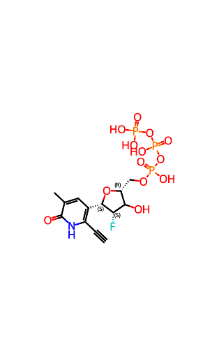 C#Cc1[nH]c(=O)c(C)cc1[C@@H]1O[C@H](COP(=O)(O)OP(=O)(O)OP(=O)(O)O)C(O)[C@@H]1F